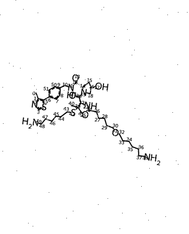 Cc1ncsc1-c1ccc(CNC(=O)[C@@H]2C[C@@H](O)CN2C(=O)[C@@H](NC(=O)CCCCCOCCCCCCN)C(C)(C)SCCCCCCN)cc1